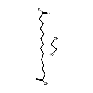 O=C(O)CCCCCCCCCCCCC(=O)O.OCCO